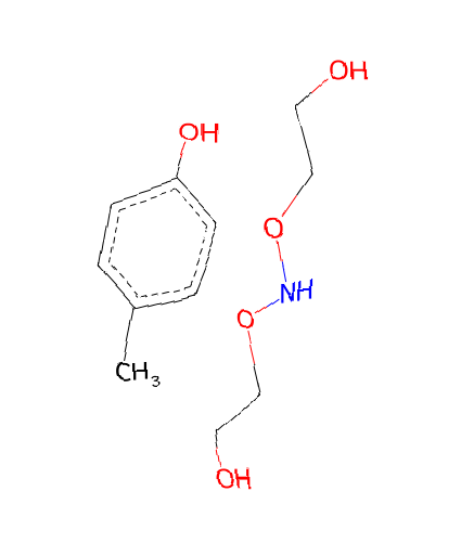 Cc1ccc(O)cc1.OCCONOCCO